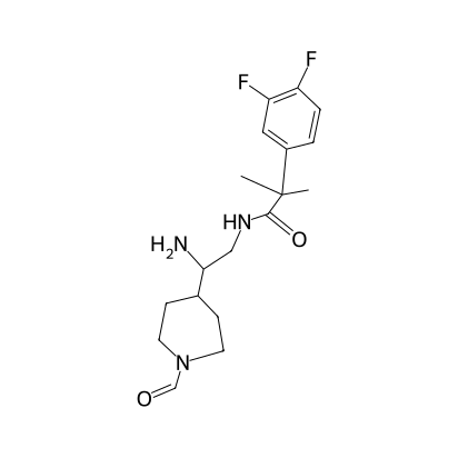 CC(C)(C(=O)NCC(N)C1CCN(C=O)CC1)c1ccc(F)c(F)c1